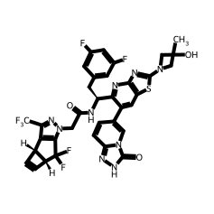 CC1(O)CN(c2nc3nc([C@H](Cc4cc(F)cc(F)c4)NC(=O)Cn4nc(C(F)(F)F)c5c4C(F)(F)[C@@H]4C#C[C@H]54)c(-c4ccc5n[nH]c(=O)n5c4)cc3s2)C1